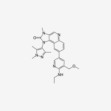 CCNc1ncc(-c2ccc3ncc4c(c3c2)n(-c2c(C)nn(C)c2C)c(=O)n4C)cc1COC